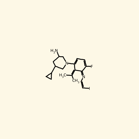 CC(C)=C1C(N2CC(N)CC(C3CC3)C2)=CC=C(F)/C1=N/C=C\I